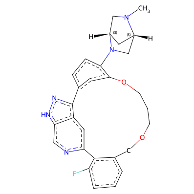 CN1C[C@@H]2C[C@H]1CN2c1ccc2cc1OCCCOCc1cccc(F)c1-c1cc3c-2n[nH]c3cn1